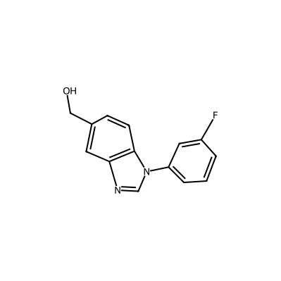 OCc1ccc2c(c1)ncn2-c1cccc(F)c1